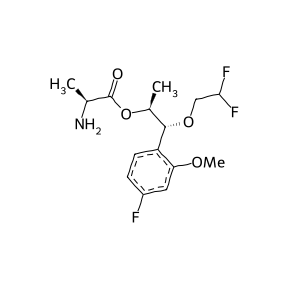 COc1cc(F)ccc1[C@@H](OCC(F)F)[C@H](C)OC(=O)[C@H](C)N